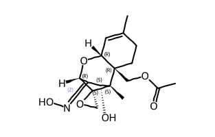 CC(=O)OC[C@]12CCC(C)=C[C@H]1O[C@@H]1/C(=N\O)[C@@H](O)[C@@]2(C)[C@]12CO2